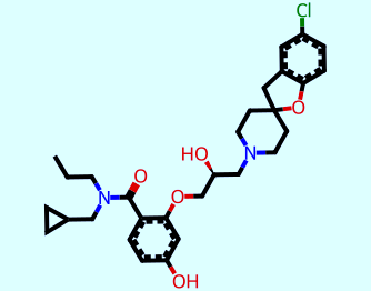 CCCN(CC1CC1)C(=O)c1ccc(O)cc1OC[C@@H](O)CN1CCC2(CC1)Cc1cc(Cl)ccc1O2